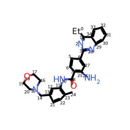 CCc1nc(-c2ccc(C(=O)Nc3cc(CN4CCOCC4)ccc3C)c(N)c2)nc2ccccc12